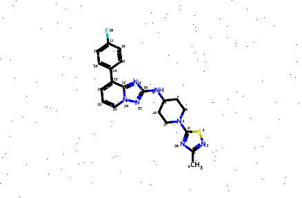 Cc1nsc(N2CCC(Nc3nc4c(-c5ccc(F)cc5)cccn4n3)CC2)n1